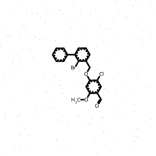 COc1cc(OCc2cccc(-c3ccccc3)c2Br)c(Cl)cc1C=O